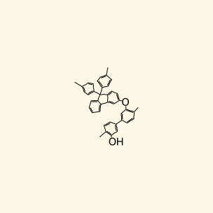 Cc1ccc(C2(c3ccc(C)cc3)c3ccccc3-c3cc(Oc4cc(-c5ccc(C)c(O)c5)ccc4C)ccc32)cc1